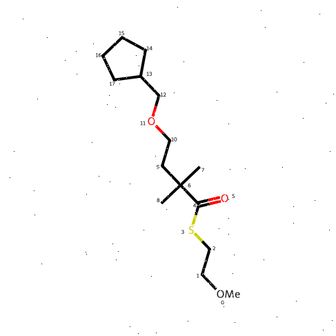 COCCSC(=O)C(C)(C)CCOCC1CCCC1